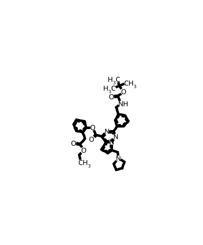 CCOC(=O)Cc1ccccc1OC(=O)c1nc(-c2cccc(CNC(=O)OC(C)(C)C)c2)nn2c(CN3CCCC3)ccc12